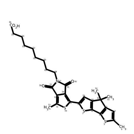 Cc1cc2c(s1)-c1sc(-c3sc(C)c4c3C(=O)N(CCCCCCCCC(=O)O)C4=O)cc1C2(C)C